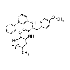 COc1ccc(C[C@H](Nc2cccc(-c3ccccc3)c2)C(=O)N[C@@H](CC(C)C)C(=O)O)cc1